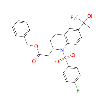 CC(O)(c1ccc2c(c1)CCC(CC(=O)OCc1ccccc1)N2S(=O)(=O)c1ccc(F)cc1)C(F)(F)F